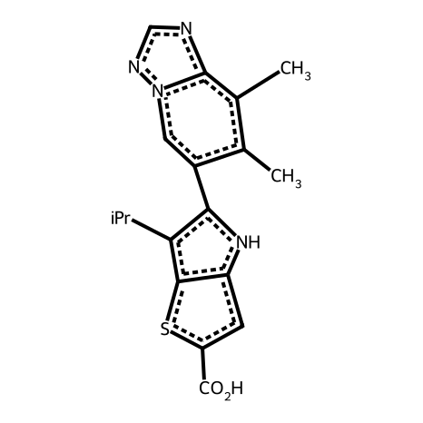 Cc1c(-c2[nH]c3cc(C(=O)O)sc3c2C(C)C)cn2ncnc2c1C